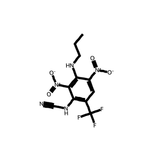 CCCNc1c([N+](=O)[O-])cc(C(F)(F)F)c(NC#N)c1[N+](=O)[O-]